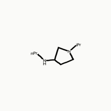 CCCNC1CCN(C(C)C)C1